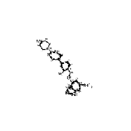 N#Cc1cc(-c2cnc(N3CCNCC3)nc2)ccc1COc1cc(N)nc2[nH]nnc12